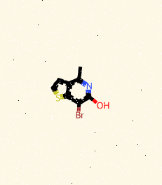 Cc1nc(O)c(Br)c2sccc12